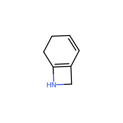 C1=CC2=C(CC1)NC2